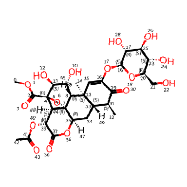 COC(=O)[C@]12OC[C@]34[C@H]([C@@H](O)[C@@H]1O)[C@@]1(C)C=C(O[C@@H]5O[C@H](CO)[C@@H](O)[C@H](O)[C@H]5O)C(=O)[C@@H](C)[C@@H]1C[C@H]3OC(=O)[C@H](OC(C)=O)[C@@H]24